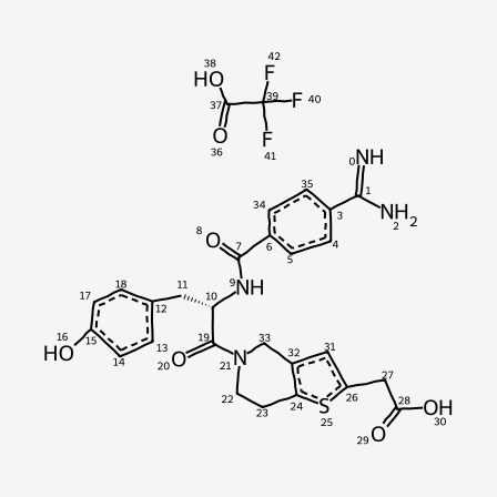 N=C(N)c1ccc(C(=O)N[C@@H](Cc2ccc(O)cc2)C(=O)N2CCc3sc(CC(=O)O)cc3C2)cc1.O=C(O)C(F)(F)F